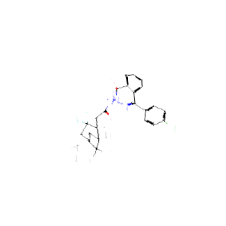 CC1(C)[C@@H]2C[C@H]1[C@H](CC(=O)Nn1nc(-c3ccc(Cl)cc3)c3ccccc3c1=O)C(F)(F)C2